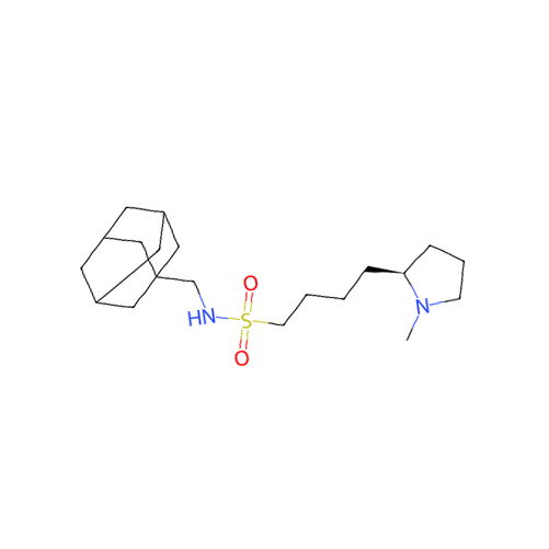 CN1CCC[C@@H]1CCCCS(=O)(=O)NCC12CC3CC(CC(C3)C1)C2